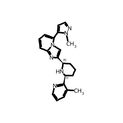 Cc1cccnc1[C@@H]1CCC[C@H](c2cn3c(-c4ccnn4C)cccc3n2)N1